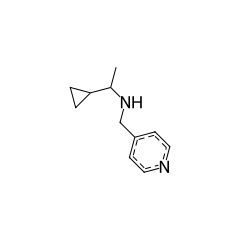 CC(NCc1ccncc1)C1CC1